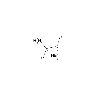 Br.COC(C)N